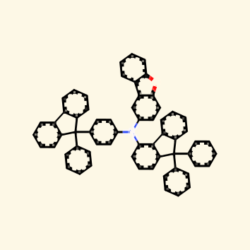 c1ccc(C2(c3ccc(N(c4ccc5oc6ccccc6c5c4)c4cccc5c4-c4ccccc4C5(c4ccccc4)c4ccccc4)cc3)c3ccccc3-c3ccccc32)cc1